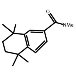 CNC(=O)c1ccc2c(c1)C(C)(C)CCC2(C)C